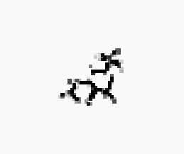 CC(C)N[C@@H](CCS(C)(=O)=O)C(=O)C(C)C